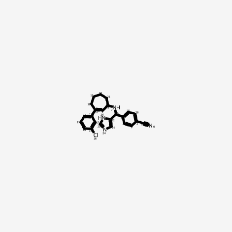 N#Cc1ccc(C(NC2C=C(c3cccc(Cl)c3)CCCC2)c2cnc[nH]2)cc1